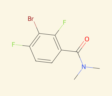 CN(C)C(=O)c1ccc(F)c(Br)c1F